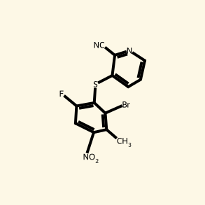 Cc1c([N+](=O)[O-])cc(F)c(Sc2cccnc2C#N)c1Br